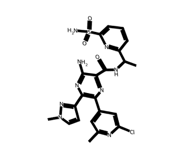 Cc1cc(-c2nc(C(=O)NC(C)c3cccc(S(N)(=O)=O)n3)c(N)nc2-c2ccn(C)n2)cc(Cl)n1